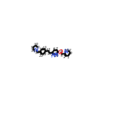 c1ccc(COc2ccc(CCc3ccc(CN4CCCC4)cc3)nn2)nc1